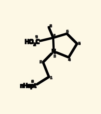 CCCCCCCCCN1CCCC1(C)C(=O)O